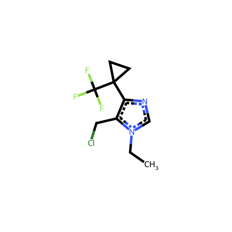 CCn1cnc(C2(C(F)(F)F)CC2)c1CCl